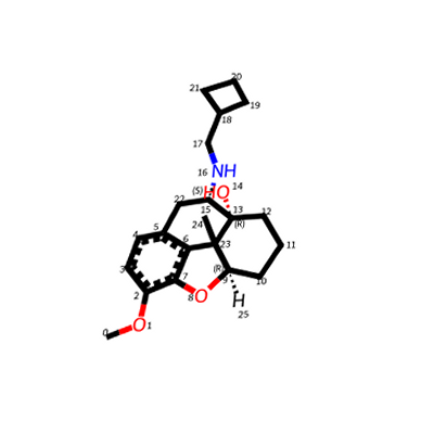 COc1ccc2c3c1O[C@@H]1CCC[C@](O)([C@@H](NCC4CCC4)C2)C31C